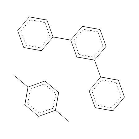 Cc1ccc(C)cc1.c1ccc(-c2cccc(-c3ccccc3)c2)cc1